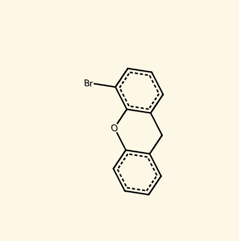 Brc1cccc2c1Oc1ccccc1C2